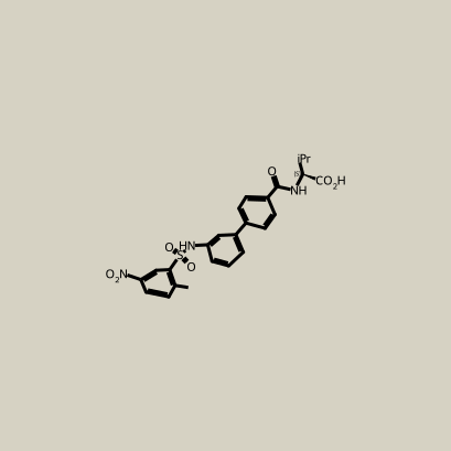 Cc1ccc([N+](=O)[O-])cc1S(=O)(=O)Nc1cccc(-c2ccc(C(=O)N[C@H](C(=O)O)C(C)C)cc2)c1